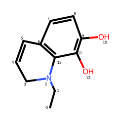 CCN1CC=Cc2ccc(O)c(O)c21